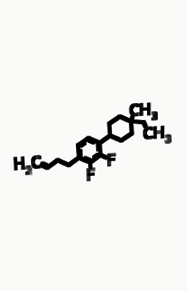 C=CCCc1ccc(C2CCC(C)(CC)CC2)c(F)c1F